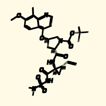 C=C[C@@H]1C[C@]1(NC(=O)[C@@H]1C[C@@H](Oc2ccnc3c(C)c(OC)ccc23)CN1C(=O)OC(C)(C)C)C(=O)NS(=O)(=O)N(C)C